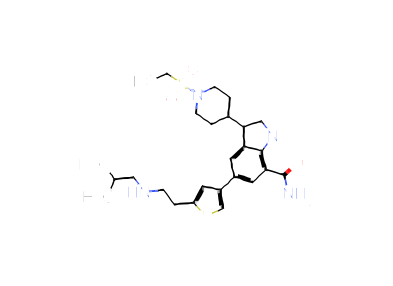 CCS(=O)(=O)N1CCC(C2CNc3c(C(N)=O)cc(-c4csc(CCNCC(C)C)c4)cc32)CC1